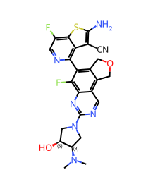 CN(C)[C@@H]1CN(c2ncc3c4c(c(-c5ncc(F)c6sc(N)c(C#N)c56)c(F)c3n2)COC4)C[C@@H]1O